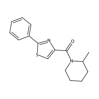 CC1CCCCN1C(=O)c1csc(-c2ccccc2)n1